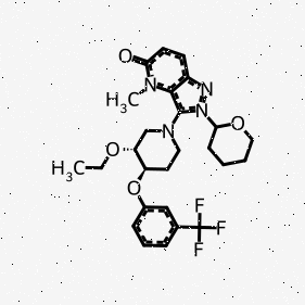 CCO[C@@H]1CN(c2c3c(ccc(=O)n3C)nn2C2CCCCO2)CC[C@H]1Oc1cccc(C(F)(F)F)c1